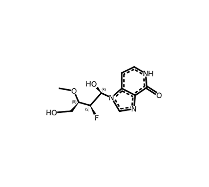 CO[C@H](CO)[C@H](F)[C@@H](O)n1cnc2c(=O)[nH]ccc21